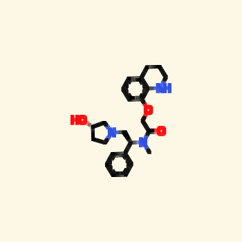 CN(C(=O)COc1cccc2c1NCCC2)[C@H](CN1CC[C@H](O)C1)c1ccccc1